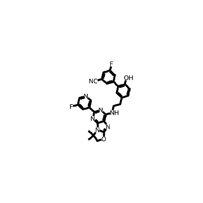 CC1(C)COc2nc3c(NCCc4ccc(O)c(-c5cc(F)cc(C#N)c5)c4)nc(-c4cncc(F)c4)nc3n21